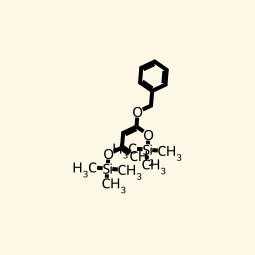 C=C(C=C(OCc1ccccc1)O[Si](C)(C)C)O[Si](C)(C)C